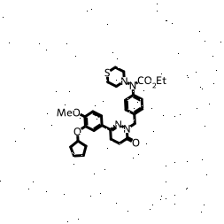 CCOC(=O)N(c1ccc(CN2N=C(c3ccc(OC)c(OC4CCCC4)c3)CCC2=O)cc1)N1CCSCC1